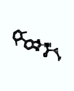 Cc1cccc(C)c1-c1ccc2nc(NC(=O)C3CC3F)sc2c1